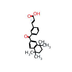 CC1(C)CCC(C)(C)c2cc(C(=O)c3cccc(/C=C/C(=O)O)c3)ccc21